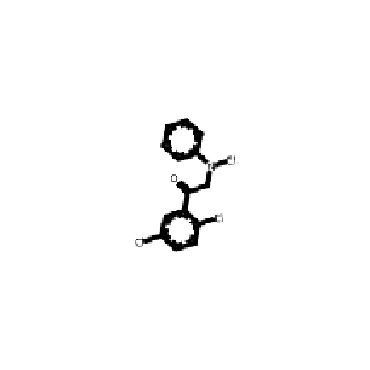 CCN(CC(=O)c1cc(Cl)ccc1Cl)c1ccccc1